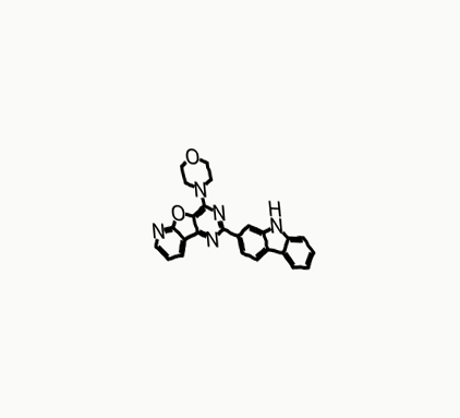 c1ccc2c(c1)[nH]c1cc(-c3nc(N4CCOCC4)c4oc5ncccc5c4n3)ccc12